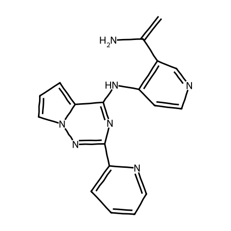 C=C(N)c1cnccc1Nc1nc(-c2ccccn2)nn2cccc12